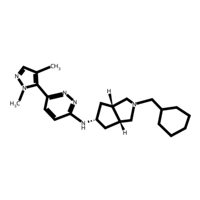 Cc1cnn(C)c1-c1ccc(N[C@@H]2C[C@@H]3CN(CC4CCCCC4)C[C@@H]3C2)nn1